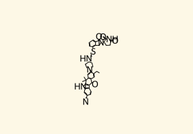 CCc1cc2c(cc1N1CCC(NCCSc3cccc4c3CN(C3CCC(=O)NC3=O)C4=O)CC1)C(C)(C)c1[nH]c3cc(C#N)ccc3c1C2=O